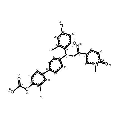 Cn1cc(/C(C[C@H](c2ccc(-c3ccc(OC(=O)O)c(F)c3)cc2)c2ccc(Cl)cc2F)=N/O)ccc1=O